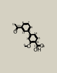 COc1cc(-c2cccc(C(C)=O)c2)ccc1C(=O)O